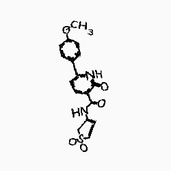 COc1ccc(-c2ccc(C(=O)NC3C=CS(=O)(=O)C3)c(=O)[nH]2)cc1